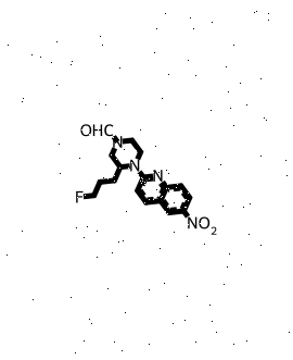 O=CN1CCN(c2ccc3cc([N+](=O)[O-])ccc3n2)C(CCCF)C1